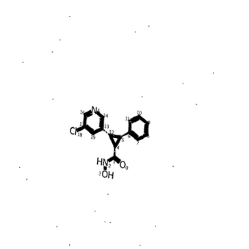 O=C(NO)[C@@H]1[C@H](c2ccccc2)[C@H]1c1cncc(Cl)c1